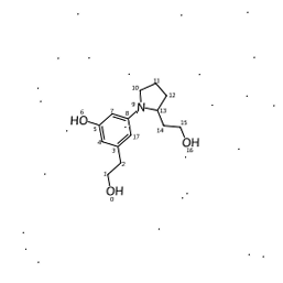 OCCc1cc(O)cc(N2CCCC2CCO)c1